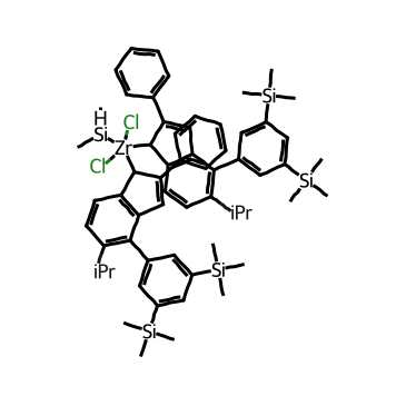 CC(C)c1ccc2c(c1-c1cc([Si](C)(C)C)cc([Si](C)(C)C)c1)C=C(c1ccccc1)[CH]2[Zr]([Cl])([Cl])([CH]1C(c2ccccc2)=Cc2c1ccc(C(C)C)c2-c1cc([Si](C)(C)C)cc([Si](C)(C)C)c1)[SiH](C)C